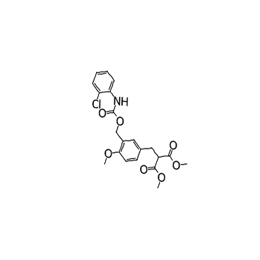 COC(=O)C(Cc1ccc(OC)c(COC(=O)Nc2ccccc2Cl)c1)C(=O)OC